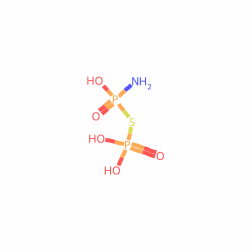 NP(=O)(O)SP(=O)(O)O